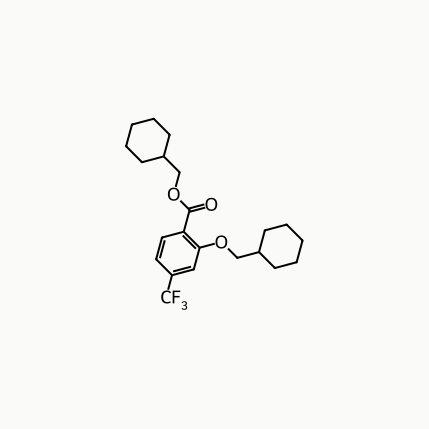 O=C(OCC1CCCCC1)c1ccc(C(F)(F)F)cc1OCC1CCCCC1